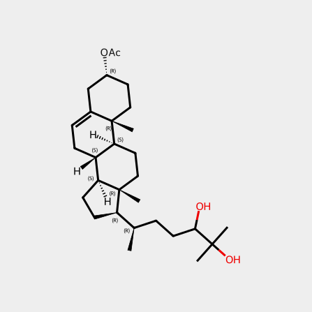 CC(=O)O[C@@H]1CC[C@@]2(C)C(=CC[C@H]3[C@@H]4CC[C@H]([C@H](C)CCC(O)C(C)(C)O)[C@@]4(C)CC[C@@H]32)C1